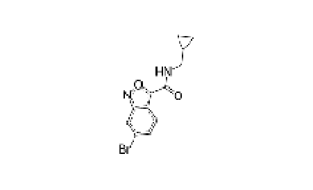 O=C(NCC1CC1)c1onc2cc(Br)ccc12